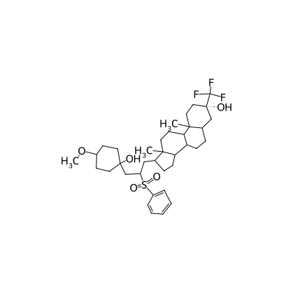 COC1CCC(O)(CC(CC2CCC3C4CCC5C[C@](O)(C(F)(F)F)CCC5(C)C4CCC23C)S(=O)(=O)c2ccccc2)CC1